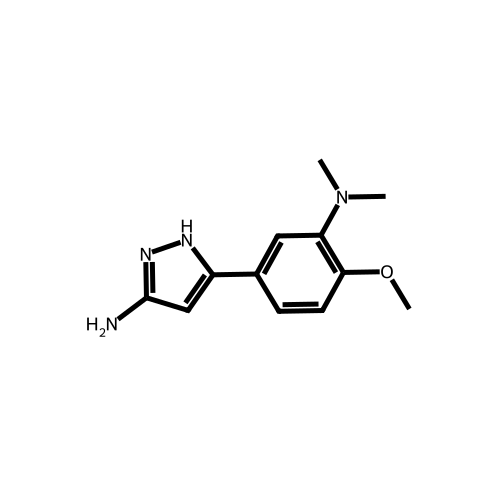 COc1ccc(-c2cc(N)n[nH]2)cc1N(C)C